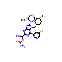 C[C@@H]1COCCN1c1nc2nc(C(=N)OC(N)=O)nc(-c3cncc(Cl)c3)c2n1C[C@H]1CC[C@H](C)CC1